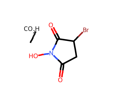 CC(=O)O.O=C1CC(Br)C(=O)N1O